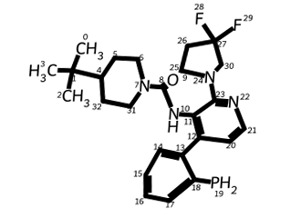 CC(C)(C)C1CCN(C(=O)Nc2c(-c3ccccc3P)ccnc2N2CCC(F)(F)C2)CC1